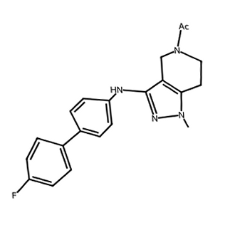 CC(=O)N1CCc2c(c(Nc3ccc(-c4ccc(F)cc4)cc3)nn2C)C1